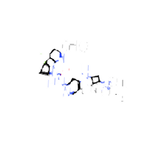 CN(C)C1CC(Nc2cc(NC(=O)N3c4nc(C=O)ccc4C4(F)CC3C4)ncc2C#N)C1